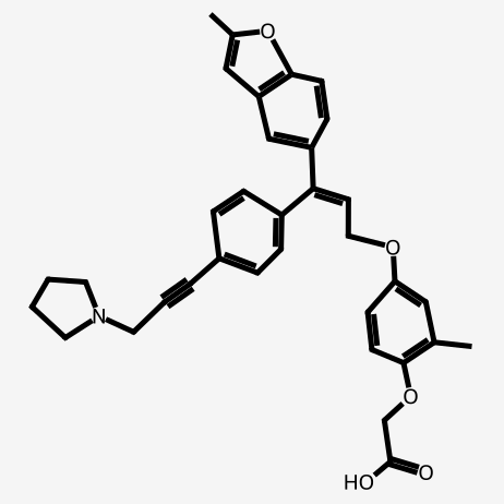 Cc1cc2cc(/C(=C/COc3ccc(OCC(=O)O)c(C)c3)c3ccc(C#CCN4CCCC4)cc3)ccc2o1